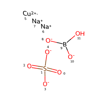 O=S(=O)([O-])[O-].[Cu+2].[Na+].[Na+].[O-]B([O-])O